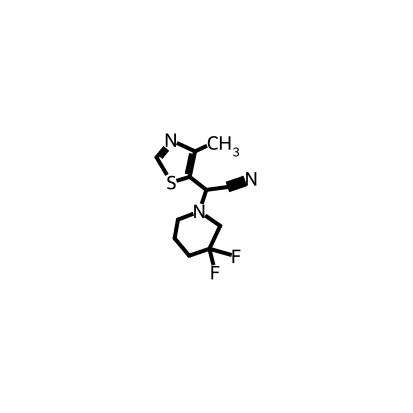 Cc1ncsc1C(C#N)N1CCCC(F)(F)C1